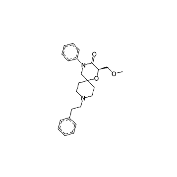 COC[C@H]1OC2(CCN(CCc3ccccc3)CC2)CN(c2ccccc2)C1=O